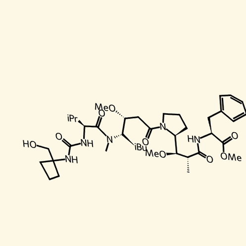 CC[C@H](C)[C@@H]([C@@H](CC(=O)N1CCC[C@H]1[C@H](OC)[C@@H](C)C(=O)N[C@@H](Cc1ccccc1)C(=O)OC)OC)N(C)C(=O)[C@@H](NC(=O)NC1(CO)CCC1)C(C)C